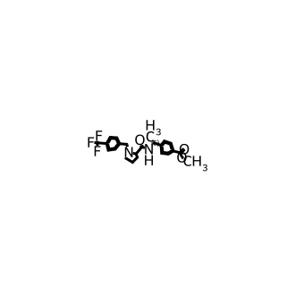 COC(=O)c1ccc([C@H](C)NC(=O)C2CCCN2Cc2ccc(C(F)(F)F)cc2)cc1